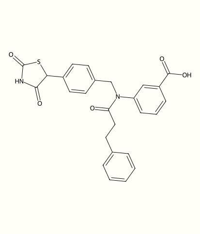 O=C1NC(=O)C(c2ccc(CN(C(=O)CCc3ccccc3)c3cccc(C(=O)O)c3)cc2)S1